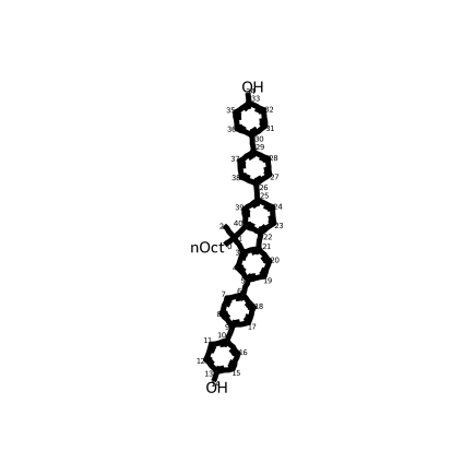 CCCCCCCCC1(C)c2cc(-c3ccc(-c4ccc(O)cc4)cc3)ccc2-c2ccc(-c3ccc(-c4ccc(O)cc4)cc3)cc21